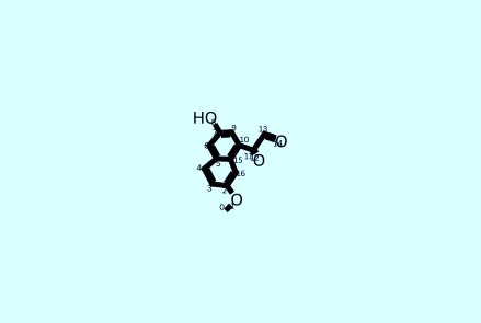 COc1ccc2cc(O)cc(C(=O)C=O)c2c1